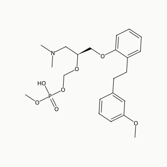 COc1cccc(CCc2ccccc2OC[C@H](CN(C)C)OCOP(=O)(O)OC)c1